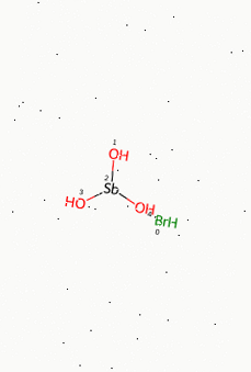 Br.[OH][Sb]([OH])[OH]